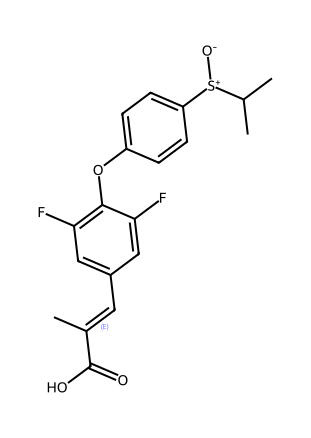 C/C(=C\c1cc(F)c(Oc2ccc([S+]([O-])C(C)C)cc2)c(F)c1)C(=O)O